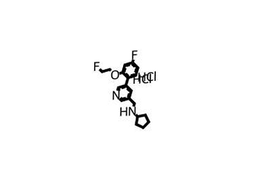 Cl.Cl.FCCOc1cc(F)ccc1-c1cncc(CNC2CCCC2)c1